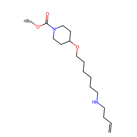 C=CCCNCCCCCCOC1CCN(C(=O)OCCCC)CC1